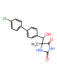 CC1(C(O)c2ccc(-c3ccc(Cl)cc3)cc2)NC(=O)NC1=O